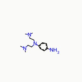 CN(C)CCN(CCN(C)C)c1ccc(N)cc1